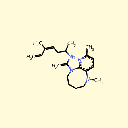 C=C/C(C)=C\CC(C)NC(=C)N1CCCCN(C)c2ccc(C)nc21